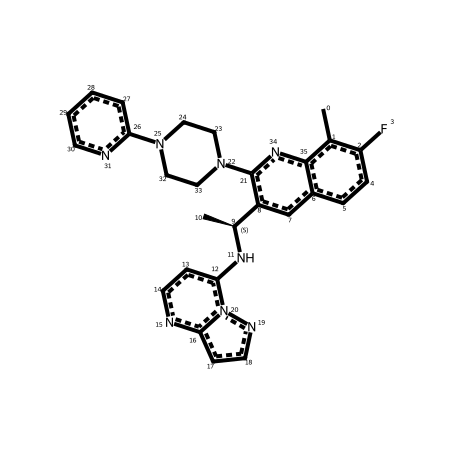 Cc1c(F)ccc2cc([C@H](C)Nc3ccnc4ccnn34)c(N3CCN(c4ccccn4)CC3)nc12